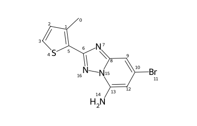 Cc1ccsc1-c1nc2cc(Br)cc(N)n2n1